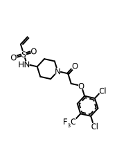 C=CS(=O)(=O)NC1CCN(C(=O)COc2cc(C(F)(F)F)c(Cl)cc2Cl)CC1